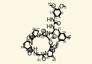 COc1ccc(NC(=O)N[C@@H](Cc2cc(F)cc(F)c2)C(=O)NC2C(=O)N3CCC[C@H]3C(=O)N3CCCC[C@H]3C(=O)N[C@@H](C)C(=O)N3C[C@H](C)C[C@H]3C(=O)O[C@H]2C)cc1OC